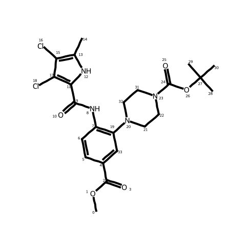 COC(=O)c1ccc(NC(=O)c2[nH]c(C)c(Cl)c2Cl)c(N2CCN(C(=O)OC(C)(C)C)CC2)c1